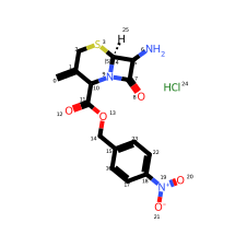 C=C1CS[C@H]2C(N)C(=O)N2C1C(=O)OCc1ccc([N+](=O)[O-])cc1.Cl